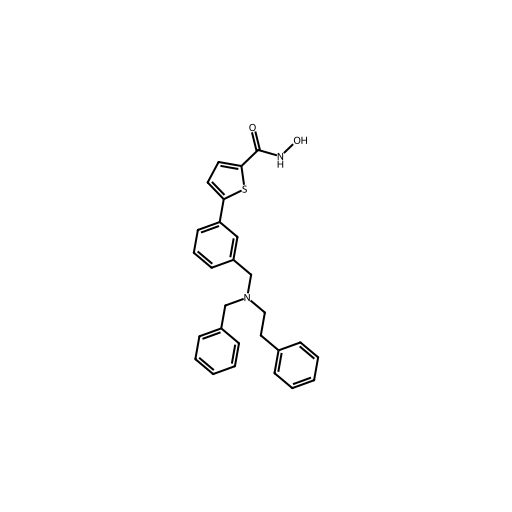 O=C(NO)c1ccc(-c2cccc(CN(CCc3ccccc3)Cc3ccccc3)c2)s1